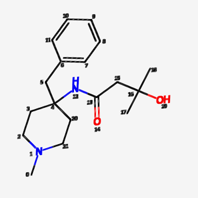 CN1CCC(Cc2ccccc2)(NC(=O)CC(C)(C)O)CC1